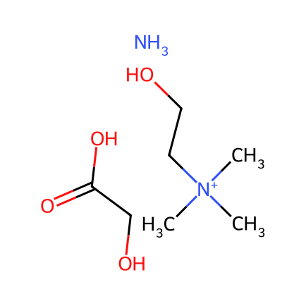 C[N+](C)(C)CCO.N.O=C(O)CO